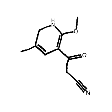 COC1=C(C(=O)CC#N)C=C(C)CN1